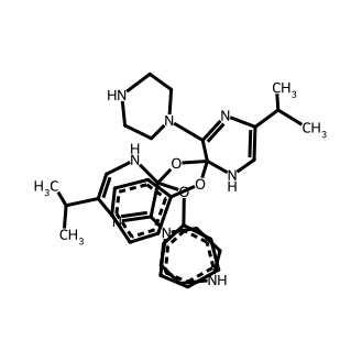 CC(C)C1=CNC(Oc2ccccc2)(OC2(Oc3ccccc3)NC=C(C(C)C)N=C2N2CCNCC2)C(N2CCNCC2)=N1